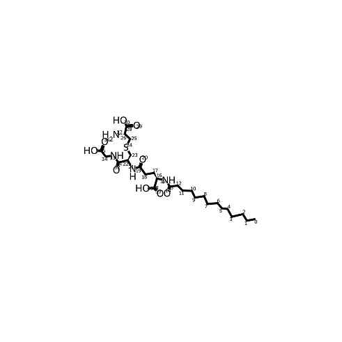 CCCCCCCCCCCCCC(=O)N[C@H](CCC(=O)N[C@H](CSC[C@H](N)C(=O)O)C(=O)NCC(=O)O)C(=O)O